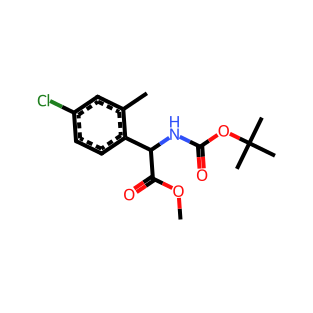 COC(=O)C(NC(=O)OC(C)(C)C)c1ccc(Cl)cc1C